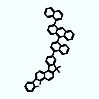 CC1(C)c2cc(-c3ccc(-c4c5ccccc5cc5c(-c6cccc7ccccc67)cccc45)c4ccccc34)ccc2-c2c1ccc1c2ccc2c3ccccc3oc12